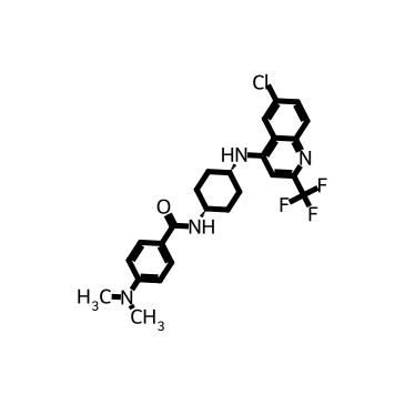 CN(C)c1ccc(C(=O)N[C@H]2CC[C@@H](Nc3cc(C(F)(F)F)nc4ccc(Cl)cc34)CC2)cc1